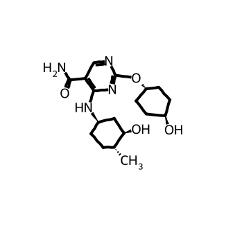 C[C@@H]1CC[C@@H](Nc2nc(O[C@H]3CC[C@H](O)CC3)ncc2C(N)=O)C[C@H]1O